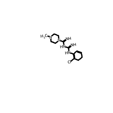 CN1CCN(C(=N)NC(=N)NC2=C(Cl)CCC=C2)CC1